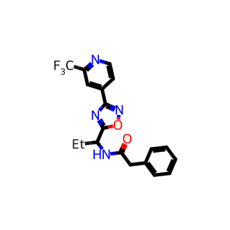 CCC(NC(=O)Cc1ccccc1)c1nc(-c2ccnc(C(F)(F)F)c2)no1